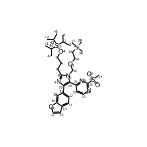 CC(C)[Si](OCCCc1nc(-c2ccc3ccoc3c2)c(-c2ccnc(S(C)(=O)=O)n2)n1COCC[Si](C)(C)C)(C(C)C)C(C)C